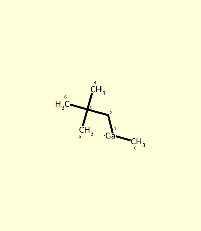 [CH3][Ga][CH2]C(C)(C)C